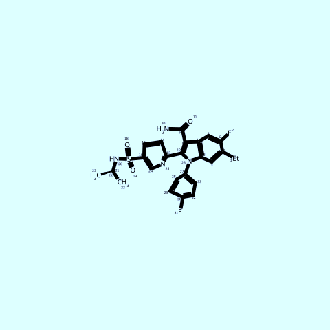 CCc1cc2c(cc1F)c(C(N)=O)c(-c1ccc(S(=O)(=O)N[C@@H](C)C(F)(F)F)cn1)n2-c1ccc(F)cc1